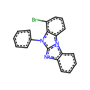 Brc1cccc2c1n(-c1ccccc1)c1nc3ccccc3n21